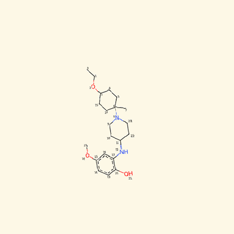 CCOC1CCC(C)(N2CCC(Nc3cc(OC)ccc3O)CC2)CC1